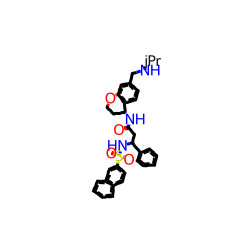 CC(C)NCc1ccc2c(c1)OCCC2NC(=O)CC(NS(=O)(=O)c1ccc2ccccc2c1)c1ccccc1